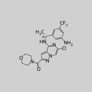 C[C@@H](Nc1nc(Cl)cn2nc(C(=O)N3CCOCC3)cc12)c1cc(N)cc(C(F)(F)F)c1